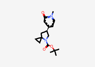 Cn1ccc([C@H]2CN(C(=O)OC(C)(C)C)C3(CC3)C2)cc1=O